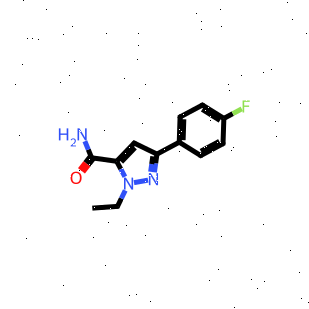 CCn1nc(-c2ccc(F)cc2)cc1C(N)=O